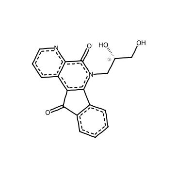 O=C1c2ccccc2-c2c1c1cccnc1c(=O)n2C[C@H](O)CO